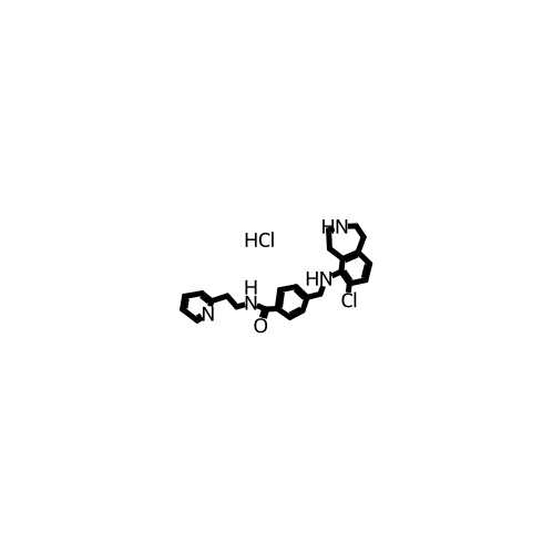 Cl.O=C(NCCc1ccccn1)c1ccc(CNc2c(Cl)ccc3c2CCNCC3)cc1